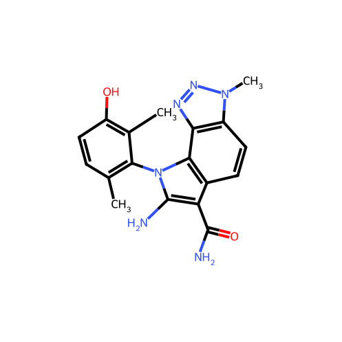 Cc1ccc(O)c(C)c1-n1c(N)c(C(N)=O)c2ccc3c(nnn3C)c21